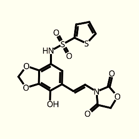 O=C1COC(=O)N1/C=C/c1cc(NS(=O)(=O)c2cccs2)c2c(c1O)OCO2